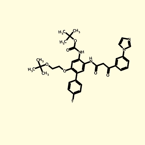 CC(C)(C)OCCOc1cc(NC(=O)OC(C)(C)C)c(NC(=O)CC(=O)c2cccc(-n3ccnc3)c2)cc1-c1ccc(F)cc1